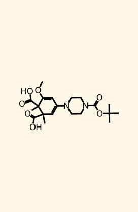 COC1=CC(N2CCN(C(=O)OC(C)(C)C)CC2)=CC(C)(C(=O)O)C1(C)C(=O)O